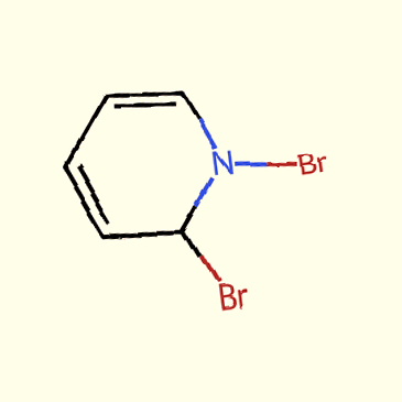 BrC1C=CC=CN1Br